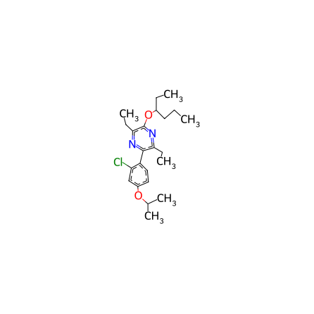 CCCC(CC)Oc1nc(CC)c(-c2ccc(OC(C)C)cc2Cl)nc1CC